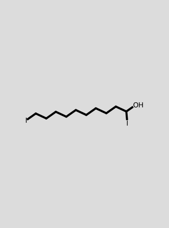 OC(I)CCCCCCCCCI